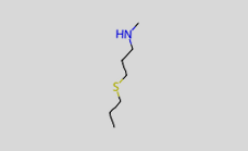 CCCSCCCNC